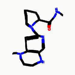 CNC(=O)C1CCCN1c1cc2c(cn1)NCCN2C